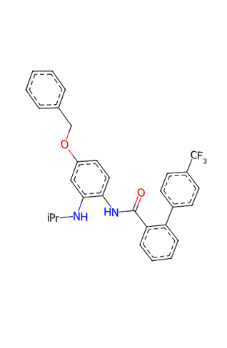 CC(C)Nc1cc(OCc2ccccc2)ccc1NC(=O)c1ccccc1-c1ccc(C(F)(F)F)cc1